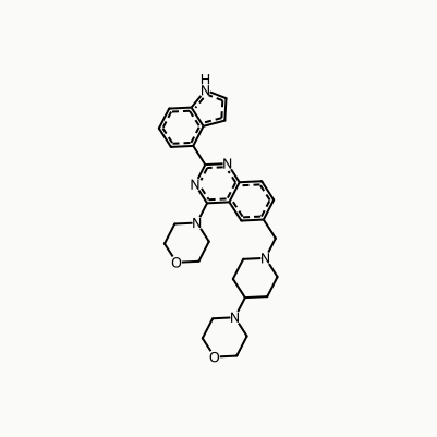 c1cc(-c2nc(N3CCOCC3)c3cc(CN4CCC(N5CCOCC5)CC4)ccc3n2)c2cc[nH]c2c1